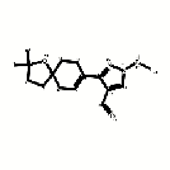 CC1(C)CCC2(CC=C(c3nn(PI)cc3C=O)CC2)O1